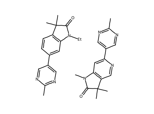 CCN1C(=O)C(C)(C)c2ccc(-c3cnc(C)nc3)cc21.Cc1ncc(-c2cc3c(cn2)C(C)(C)C(=O)N3C)cn1